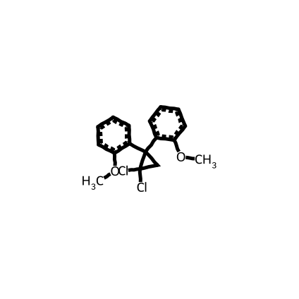 COc1ccccc1C1(c2ccccc2OC)CC1(Cl)Cl